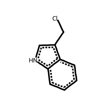 ClCc1c[nH]c2ccccc12